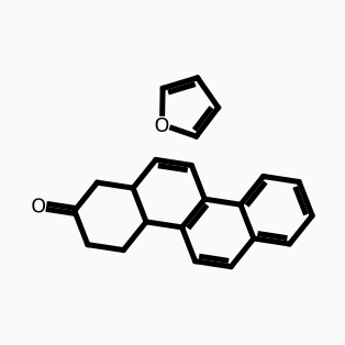 O=C1CCC2c3ccc4ccccc4c3C=CC2C1.c1ccoc1